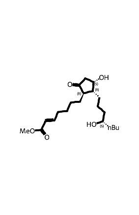 CCCC[C@H](O)CCC[C@H]1[C@@H](O)CC(=O)[C@@H]1CCCCC=CC(=O)OC